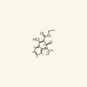 CCOC(=O)c1c(O)c2ccccc2n(C(C)C)c1=O